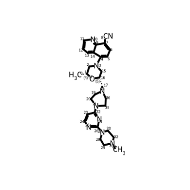 C[C@@H]1CN(c2ccc(C#N)c3ncccc23)C[C@H](CN2CCN(c3ccnc(N4CCN(C)CC4)n3)CC2)O1